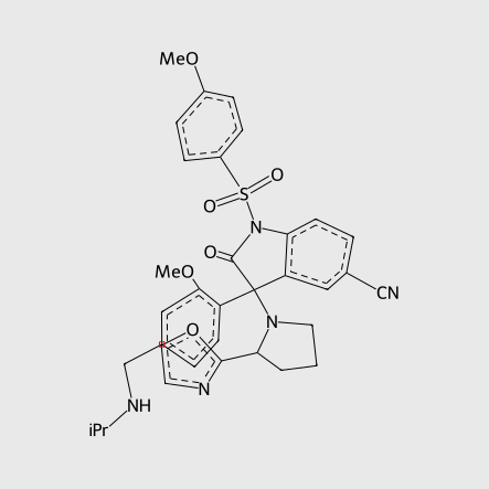 COc1ccc(S(=O)(=O)N2C(=O)C(c3ccc(CNC(C)C)cc3OC)(N3CCCC3c3ncco3)c3cc(C#N)ccc32)cc1